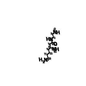 CNCCNC(=O)C[C@H](CCCCN)NC